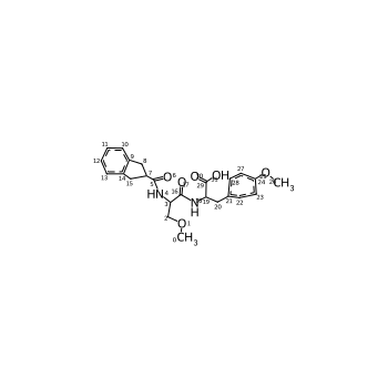 COCC(NC(=O)C1Cc2ccccc2C1)C(=O)NC(Cc1ccc(OC)cc1)C(=O)O